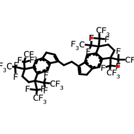 FC(F)(F)C(F)(F)C1(C(F)(F)C(F)(F)F)CCC(C(F)(F)C(F)(F)F)(C(F)(F)C(F)(F)F)c2cc3c(cc21)CC=C3CCC1=CCc2cc3c(cc21)C(C(F)(F)C(F)(F)F)(C(F)(F)C(F)(F)F)CCC3(C(F)(F)C(F)(F)F)C(F)(F)C(F)(F)F